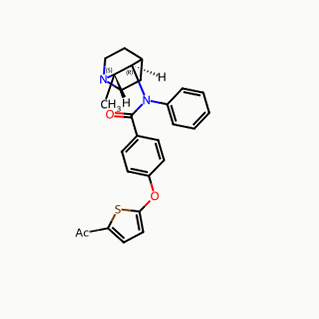 CC(=O)c1ccc(Oc2ccc(C(=O)N(c3ccccc3)[C@@H]3C4CCN(CC4)[C@H]3C)cc2)s1